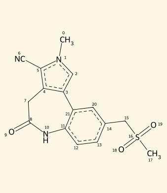 Cn1cc2c(c1C#N)CC(=O)Nc1ccc(CS(C)(=O)=O)cc1-2